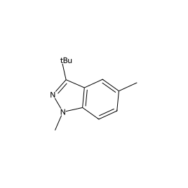 Cc1ccc2c(c1)c(C(C)(C)C)nn2C